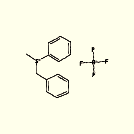 C[S+](Cc1ccccc1)c1ccccc1.F[B-](F)(F)F